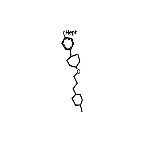 CCCCCCCc1ccc(C2CCC(OCCCC3CCC(C)CC3)CC2)cc1